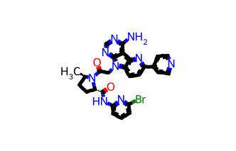 C[C@@H]1CC[C@@H](C(=O)Nc2cccc(Br)n2)N1C(=O)Cn1c2ccc(-c3ccncc3)nc2c2c(N)ncnc21